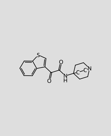 O=C(NC12CCN(CC1)CC2)C(=O)c1csc2ccccc12